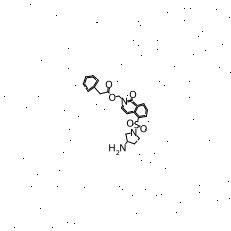 NC1CCN(S(=O)(=O)c2cccc3c(=O)n(COC(=O)Cc4ccccc4)ccc23)C1